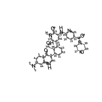 CN(C)c1ccc2c(=O)c(-c3cccc(-c4cc(Nc5ccc(C(=O)N6CCOCC6)cn5)c(=O)n(C)c4)c3CO)c[nH]c2c1